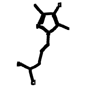 Cc1nn(CCCC(Cl)Br)c(C)c1Cl